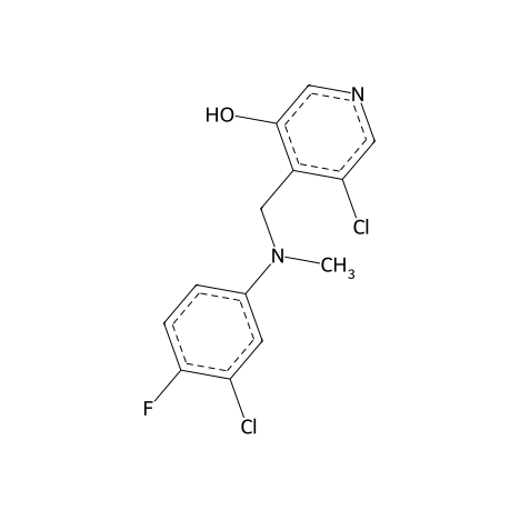 CN(Cc1c(O)cncc1Cl)c1ccc(F)c(Cl)c1